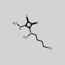 CCCCCN(C)c1c(NC)c(=S)c1=O